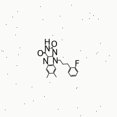 Cc1cc2nc3c(=O)[nH]c(=O)nc-3n(CCCc3ccccc3F)c2cc1C